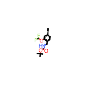 C#Cc1ccc(CNC(=O)OC(C)(C)C)c(OC(F)F)c1